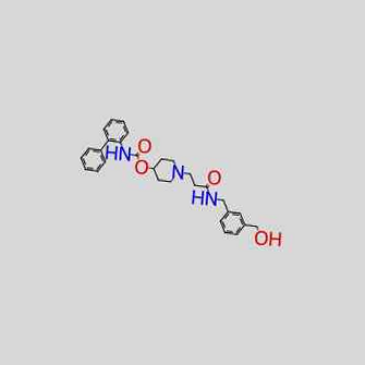 O=C(CCN1CCC(OC(=O)Nc2ccccc2-c2ccccc2)CC1)NCc1cccc(CO)c1